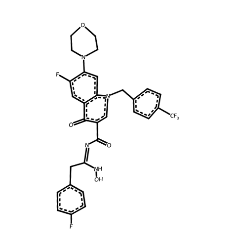 O=C(/N=C(/Cc1ccc(F)cc1)NO)c1cn(Cc2ccc(C(F)(F)F)cc2)c2cc(N3CCOCC3)c(F)cc2c1=O